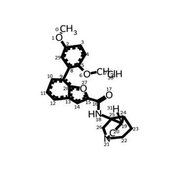 COc1ccc(OC)c(-c2cccc3cc(C(=O)N[C@H]4CN5CCC4CC5)oc23)c1.Cl